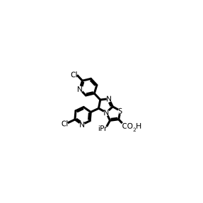 CC(C)C1=C(C(=O)O)SC2=NC(c3ccc(Cl)nc3)C(c3ccc(Cl)nc3)N21